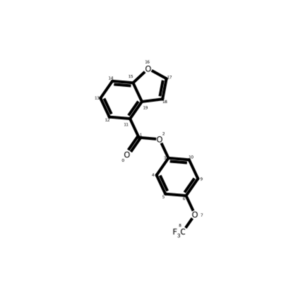 O=C(Oc1ccc(OC(F)(F)F)cc1)c1cccc2occc12